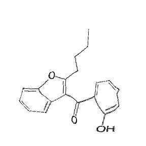 CCCCc1oc2ccccc2c1C(=O)c1ccccc1O